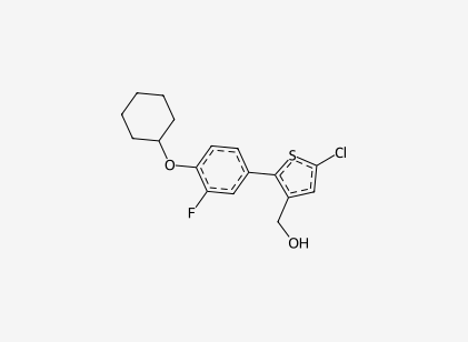 OCc1cc(Cl)sc1-c1ccc(OC2CCCCC2)c(F)c1